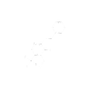 O=Cc1c(C(F)(F)F)cnc(OCc2ccccc2)c1F